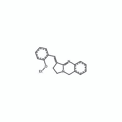 CCOc1ccccc1/C=C1\CCN2Cc3ccccc3N=C12